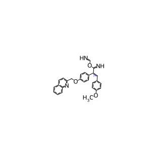 COc1ccc(/C=C(/C(=N)OC=N)c2ccc(OCc3ccc4ccccc4n3)cc2)cc1